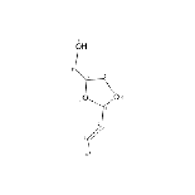 CC=CC1OCC(CO)O1